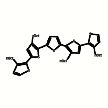 CCCCCCCCc1ccsc1-c1cc(CCCCCCCC)c(-c2ccc(-c3sc(-c4sccc4CCCCCCCC)cc3CCCCCCCC)s2)s1